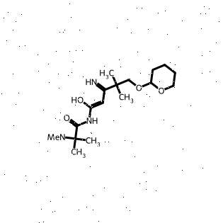 CNC(C)(C)C(=O)N/C(O)=C/C(=N)C(C)(C)COC1CCCCO1